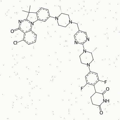 C[C@@H]1CN(Cc2cnc(N3CCN(c4cc(F)c(C5CCC(=O)NC5=O)c(F)c4)C[C@H]3C)nc2)CCN1c1ccc2c(c1)-n1c(nc(=O)c3c(Cl)cccc31)C2(C)C